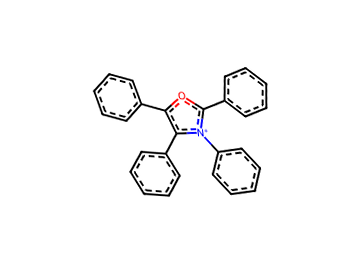 c1ccc(-c2oc(-c3ccccc3)[n+](-c3ccccc3)c2-c2ccccc2)cc1